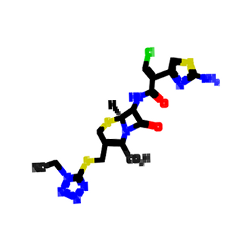 N#CCn1nnnc1SCC1=C(C(=O)O)N2C(=O)C(NC(=O)C(=CCl)c3csc(N)n3)[C@@H]2SC1